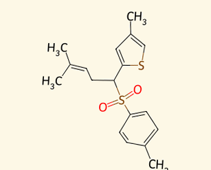 CC(C)=CCC(c1cc(C)cs1)S(=O)(=O)c1ccc(C)cc1